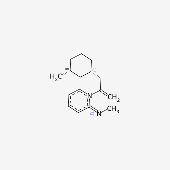 C=C(C[C@H]1CCC[C@@H](C)C1)n1cccc/c1=N/C